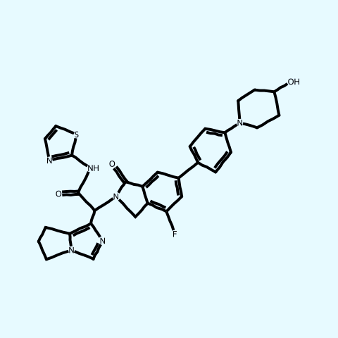 O=C(Nc1nccs1)C(c1ncn2c1CCC2)N1Cc2c(F)cc(-c3ccc(N4CCC(O)CC4)cc3)cc2C1=O